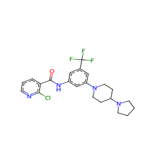 O=C(Nc1cc(N2CCC(N3CCCC3)CC2)cc(C(F)(F)F)c1)c1cccnc1Cl